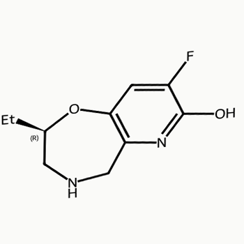 CC[C@@H]1CNCc2nc(O)c(F)cc2O1